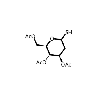 CC(=O)OC[C@H]1OC(S)C[C@@H](OC(C)=O)[C@@H]1OC(C)=O